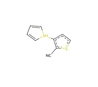 N#Cc1sccc1[SH]1C=CC=C1